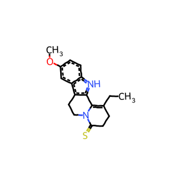 CCC1=C2c3[nH]c4ccc(OC)cc4c3CCN2C(=S)CC1